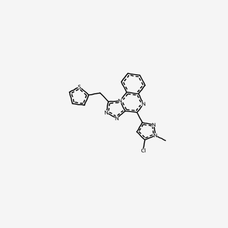 Cn1nc(-c2nc3ccccc3n3c(Cc4cccs4)nnc23)cc1Cl